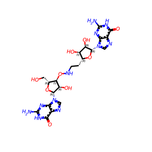 Nc1nc2c(ncn2[C@@H]2O[C@H](CCNO[C@H]3[C@@H](O)[C@H](n4cnc5c(=O)[nH]c(N)nc54)O[C@@H]3CO)[C@@H](O)[C@H]2O)c(=O)[nH]1